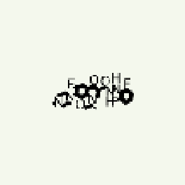 C[C@H]1COc2c(N3CCN(C)CC3)c(F)cc3c(=O)c(C(=O)NNc4c(F)cccc4F)cn1c23